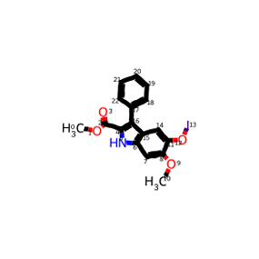 COC(=O)c1[nH]c2cc(OC)c(OI)cc2c1-c1ccccc1